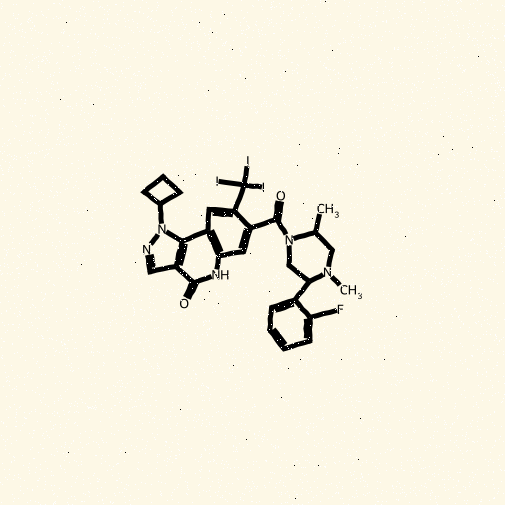 CC1CN(C)C(c2ccccc2F)CN1C(=O)c1cc2[nH]c(=O)c3cnn(C4CCC4)c3c2cc1C(I)(I)I